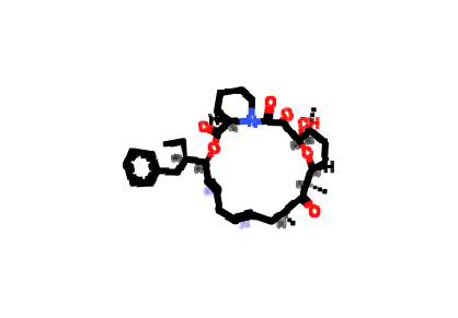 CC[C@H](Cc1ccccc1)[C@@H]1/C=C/C/C=C/C[C@@H](C)C(=O)[C@@H](C)[C@@H]2CC[C@@H](C)[C@@](O)(O2)C(=O)C(=O)N2CCCC[C@H]2C(=O)O1